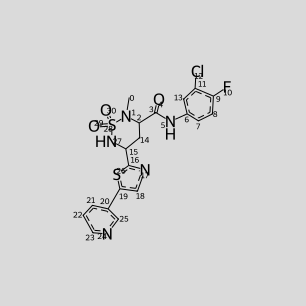 CN1C(C(=O)Nc2ccc(F)c(Cl)c2)CC(c2ncc(-c3cccnc3)s2)NS1(=O)=O